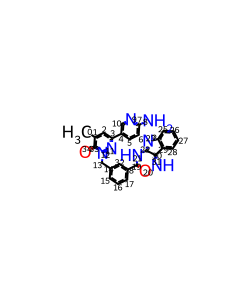 Cc1cc(-c2ccc(N)nc2)nn(Cc2cccc(C(=O)NC3=Nc4ccccc4C3=N)c2)c1=O